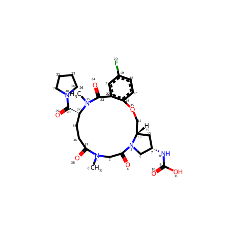 CN1CC(=O)N2C[C@@H](NC(=O)O)C[C@H]2COc2ccc(F)cc2C(=O)N(C)[C@@H](C(=O)N2CCCC2)CCC1=O